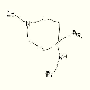 CCN1CCC(NC(C)C)(C(C)=O)CC1